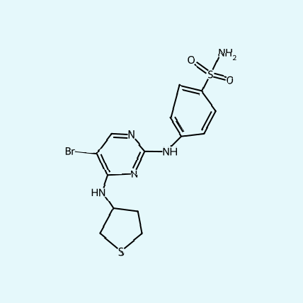 NS(=O)(=O)c1ccc(Nc2ncc(Br)c(NC3CCSC3)n2)cc1